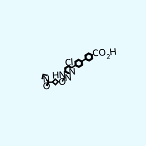 O=C(O)c1ccc(-c2ccc(-c3nc4nc(OC5CC(C(=O)N6CCC6)C5)[nH]c4cc3Cl)cc2)cc1